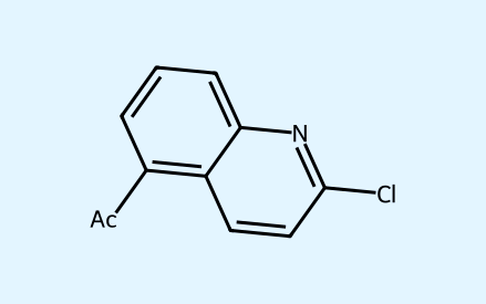 CC(=O)c1cccc2nc(Cl)ccc12